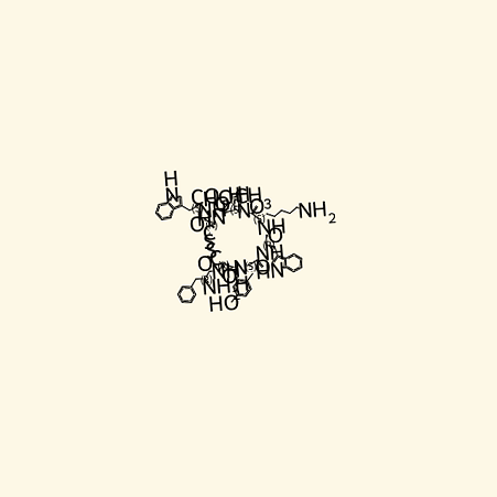 C[C@@H](O)[C@@H]1NC(=O)[C@H](CCCCCN)NC(=O)[C@@H](Cc2c[nH]c3ccccc23)NC(=O)[C@H](Cc2ccc(O)cc2)NC(=O)[C@@H](NC(=O)[C@H](N)Cc2ccccc2)CSSC[C@@H](C(=O)N[C@@H](Cc2c[nH]c3ccccc23)C(=O)O)NC1=O